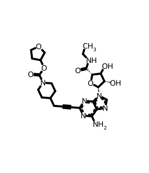 CCNC(=O)[C@H]1O[C@@H](n2cnc3c(N)nc(C#CCC4CCN(C(=O)OC5CCOC5)CC4)nc32)[C@@H](O)C1O